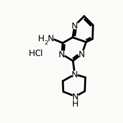 Cl.Nc1nc(N2CCNCC2)nc2cccnc12